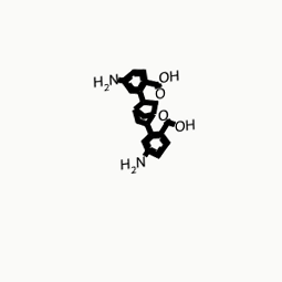 Nc1ccc(C(=O)O)c(C2CC3CC2CC3c2cc(N)ccc2C(=O)O)c1